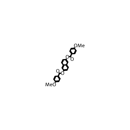 COc1ccc(C(=O)Oc2ccc3cc(OC(=O)c4ccc(OC)cc4)ccc3c2)cc1